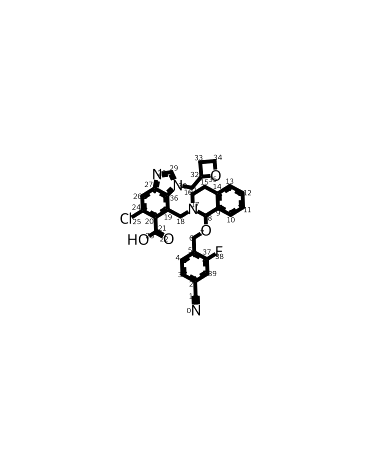 N#Cc1ccc(COC2c3ccccc3CCN2Cc2c(C(=O)O)c(Cl)cc3ncn(CC4CCO4)c23)c(F)c1